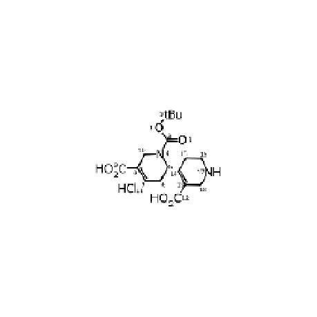 CC(C)(C)OC(=O)N1CCC=C(C(=O)O)C1.Cl.O=C(O)C1=CCCNC1